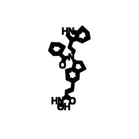 O=C(C=Cc1ccc2c(c1)CCC2N(CCc1c[nH]c2ccccc12)C(=O)c1ccccc1)NO